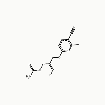 Cc1cc(OCC(=CF)COC(N)=O)ccc1C#N